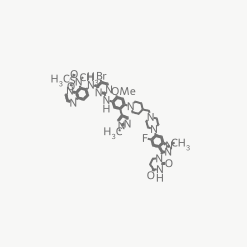 COc1cc(N2CCC(CN3CCN(c4cc5c(cc4F)c(N4CCC(=O)NC4=O)nn5C)CC3)CC2)c(-c2cnn(C)c2)cc1Nc1ncc(Br)c(Nc2ccc3nccnc3c2N(C)S(C)(=O)=O)n1